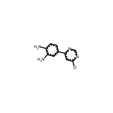 Nc1ccc(-c2cc(Cl)ncn2)cc1N